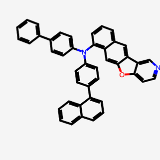 c1ccc(-c2ccc(N(c3ccc(-c4cccc5ccccc45)cc3)c3cccc4cc5c(cc34)oc3ccncc35)cc2)cc1